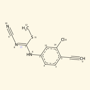 C#Cc1ccc(N/C(=N/C#N)SC)cc1Cl